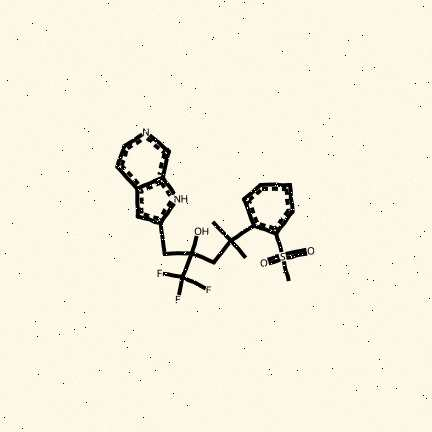 CC(C)(CC(O)(Cc1cc2ccncc2[nH]1)C(F)(F)F)c1ccccc1S(C)(=O)=O